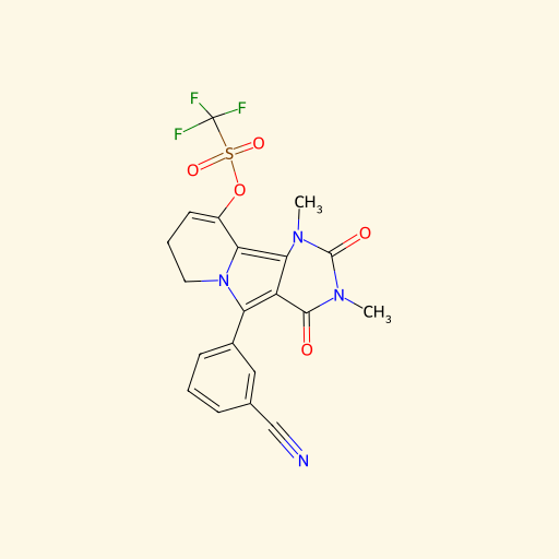 Cn1c(=O)c2c(-c3cccc(C#N)c3)n3c(c2n(C)c1=O)C(OS(=O)(=O)C(F)(F)F)=CCC3